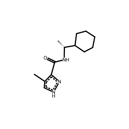 Cc1c[nH]nc1C(=O)N[C@H](C)C1CCCCC1